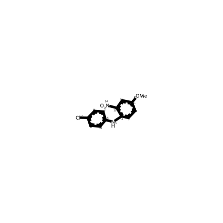 COc1ccc(Nc2ccc(Cl)cc2)c([N+](=O)[O-])c1